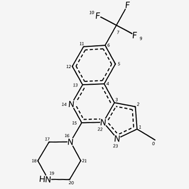 Cc1cc2c3cc(C(F)(F)F)ccc3nc(N3CCNCC3)n2n1